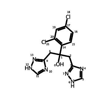 OC(Cc1nc[nH]n1)(Cc1nc[nH]n1)c1ccc(Cl)cc1Cl